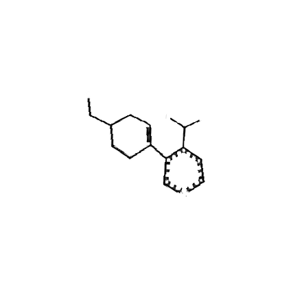 CCOC(=O)CC1CC=C(c2cnccc2C(F)F)CC1